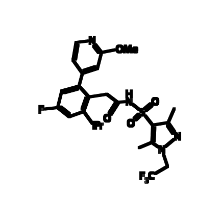 COc1cc(-c2cc(F)cc(C(C)C)c2CC(=O)NS(=O)(=O)c2c(C)nn(CC(F)(F)F)c2C)ccn1